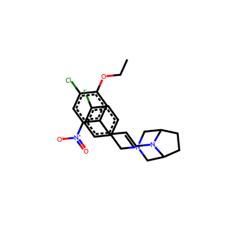 CCOc1cc(CC=CN2C3CCC2CN(Cc2ccc(F)cc2)C3)c([N+](=O)[O-])cc1Cl